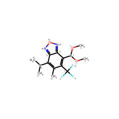 COB(OC)c1c(C(F)(F)F)c(C)c(B(C)C)c2nonc12